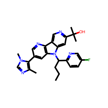 CCCC(c1ccc(F)cn1)n1c2cc(C(C)(C)O)ncc2c2ncc(-c3c(C)ncn3C)cc21